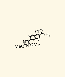 COc1ncc(-c2cc3ncc(C(N)=O)c(Cl)c3cc2C)c(OC)n1